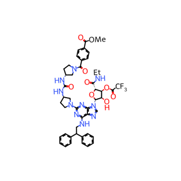 CCNC(=O)[C@H]1O[C@@H](n2cnc3c(NCC(c4ccccc4)c4ccccc4)nc(N4CC[C@@H](NC(=O)N[C@@H]5CCN(C(=O)c6ccc(C(=O)OC)cc6)C5)C4)nc32)[C@H](O)[C@@H]1OC(=O)C(F)(F)F